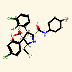 CC(C)(C)C[C@H]1N[C@@H](C(=O)NC2CCC(O)CC2)[C@H](c2cccc(Cl)c2F)[C@@]12C(=O)Oc1cc(Cl)ccc12